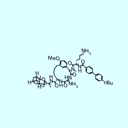 CCCCc1ccc(-c2ccc(C(=O)N[C@@H](CCCCN)C(=O)N(C)[C@@H]3C(=O)N[C@@H](N)C(=O)N[C@H](C(=O)N[C@@H](C)B4O[C@@H]5C[C@@H]6C[C@@H](C6(C)C)[C@]5(C)O4)CCCCc4cc3ccc4OC)cc2)cc1